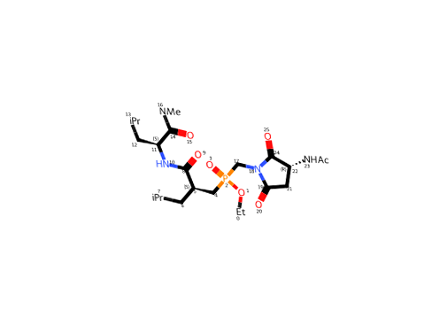 CCOP(=O)(C[C@@H](CC(C)C)C(=O)N[C@@H](CC(C)C)C(=O)NC)CN1C(=O)C[C@@H](NC(C)=O)C1=O